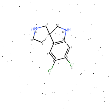 Clc1cc2c(cc1Cl)[C@]1(CCNC1)CN2